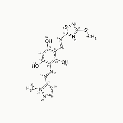 CSc1nsc(/N=N/c2c(O)cc(O)c(/N=N/c3ccnn3C)c2O)n1